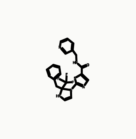 O=C(NCc1cccnc1)c1cnc(N2C=CNC2(Cc2ccccc2)C(F)(F)F)s1